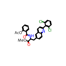 COC(=O)C(Cc1ccc2nc(-c3c(Cl)cccc3Cl)ccc2c1)NC(=O)c1ccccc1OC(C)=O